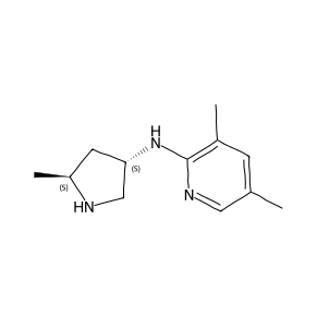 Cc1cnc(N[C@@H]2CN[C@@H](C)C2)c(C)c1